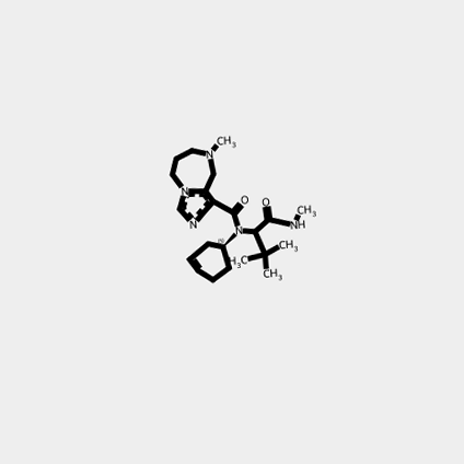 CNC(=O)C(N(C(=O)c1ncn2c1CN(C)CCC2)[C@@H]1CC=CCC1)C(C)(C)C